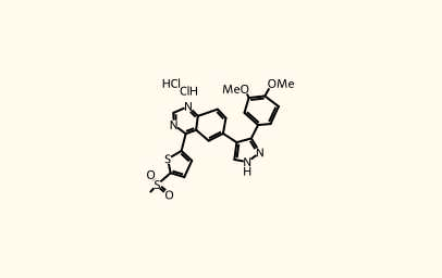 COc1ccc(-c2n[nH]cc2-c2ccc3ncnc(-c4ccc(S(C)(=O)=O)s4)c3c2)cc1OC.Cl.Cl